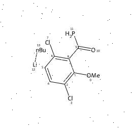 COc1c(Cl)ccc(Cl)c1C(=O)P.[Li][CH2]CCC